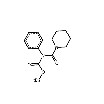 CC(C)(C)OC(=O)N(C(=O)N1CCCCC1)c1[c]cccc1